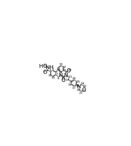 O=C(NO)c1ccc(Cn2c(=O)n(CCc3ccc(N4CCOCC4)cc3)c(=O)c3ccccc32)cc1